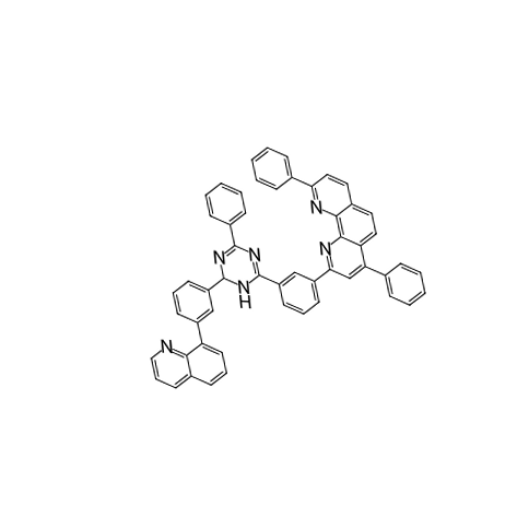 c1ccc(C2=NC(c3cccc(-c4cccc5cccnc45)c3)NC(c3cccc(-c4cc(-c5ccccc5)c5ccc6ccc(-c7ccccc7)nc6c5n4)c3)=N2)cc1